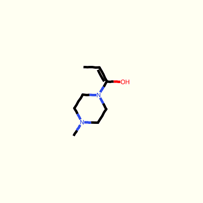 C/C=C(/O)N1CCN(C)CC1